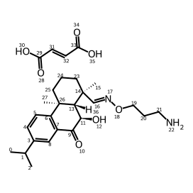 CC(C)c1ccc2c(c1)C(=O)[C@H](O)[C@H]1[C@](C)(/C=N/OCCCN)CCC[C@]21C.O=C(O)/C=C/C(=O)O